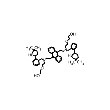 CC1(C)CBC(c2ccccc2CN(CCOCCO)CCc2c3ccccc3c(CCN(CCOCCO)Cc3ccccc3C3BCC(C)(C)CC3)c3ccccc23)CC1